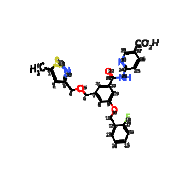 Cc1cc(COCc2cc(OCc3ccccc3F)cc(C(=O)Nc3ccc(C(=O)O)cn3)c2)ns1